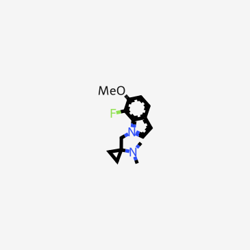 COc1ccc2ccn(CC3(N(C)C)CC3)c2c1F